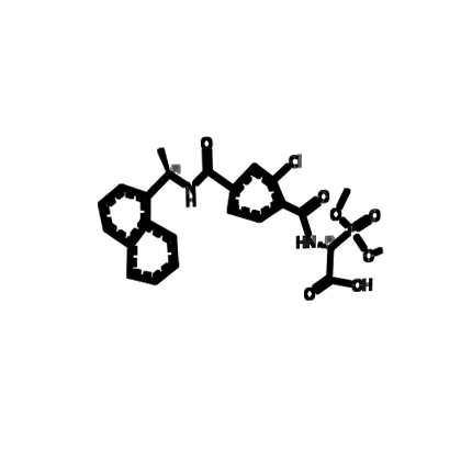 COP(=O)(OC)[C@@H](NC(=O)c1ccc(C(=O)N[C@H](C)c2cccc3ccccc23)cc1Cl)C(=O)O